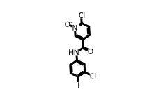 O=C(Nc1ccc(I)c(Cl)c1)c1ccc(Cl)[n+]([O-])c1